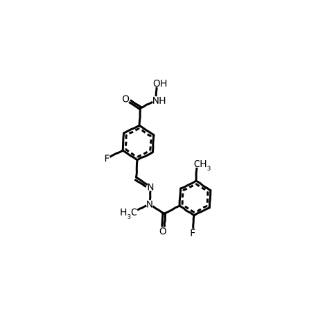 Cc1ccc(F)c(C(=O)N(C)N=Cc2ccc(C(=O)NO)cc2F)c1